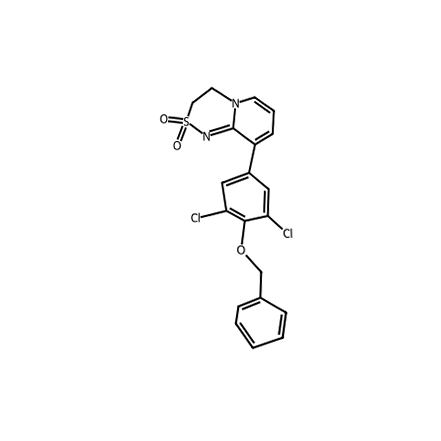 O=S1(=O)CCN2C=CC=C(c3cc(Cl)c(OCc4ccccc4)c(Cl)c3)C2=N1